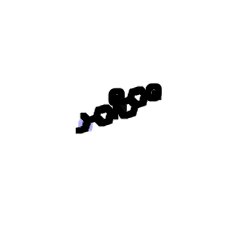 C/C=C(\C)c1ccc(N2CCc3cc(OC)ccc3C2=O)cc1